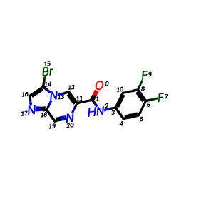 O=C(Nc1ccc(F)c(F)c1)c1cn2c(Br)cnc2cn1